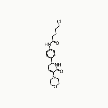 O=C(CCCCCl)Nc1ccc(C2CC=C(N3CCOCC3)C(=O)N2)cc1